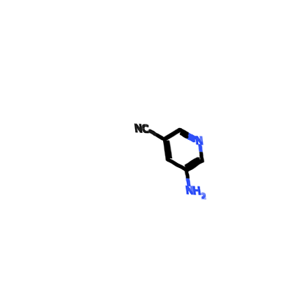 N#Cc1cncc(N)c1